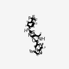 CC(NC(=O)c1cn2c(Br)cnc2cn1)c1cnc(Nc2ccc(C(F)(F)F)cc2)s1